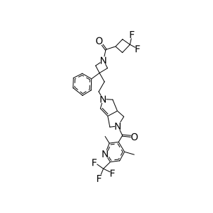 Cc1cc(C(F)(F)F)nc(C)c1C(=O)N1CC2=CN(CCC3(c4ccccc4)CN(C(=O)C4CC(F)(F)C4)C3)CC2C1